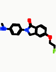 CNc1ccc(N2Cc3cc(OCCF)ccc3C2=O)cc1